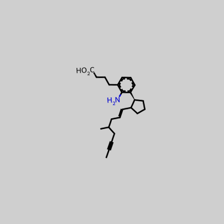 CC#CCC(C)C/C=C/C1CCC[C@@H]1c1cccc(CCCC(=O)O)c1N